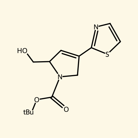 CC(C)(C)OC(=O)N1CC(c2nccs2)=CC1CO